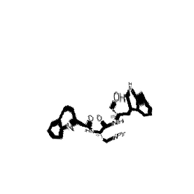 CC(C)C[C@H](NC(=O)c1ccc2ccccc2n1)C(=O)N[C@H](CO)Cc1c[nH]c2ccccc12